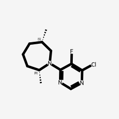 C[C@H]1CCC[C@@H](C)N(c2ncnc(Cl)c2F)C1